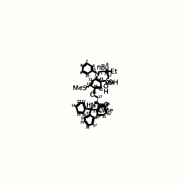 CCCC[C@]1(CC)CN(c2ccccc2)c2cc(SC)c(OC[C@@H](NC(c3ccccc3)(c3ccccc3)c3ccccc3)C(=O)OC)cc2S(O)(O)C1